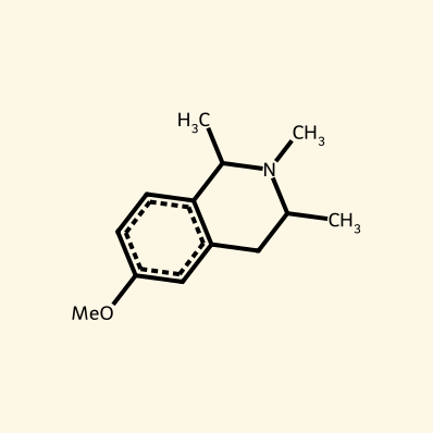 COc1ccc2c(c1)CC(C)N(C)C2C